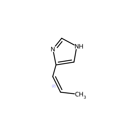 C/C=C\c1c[nH]cn1